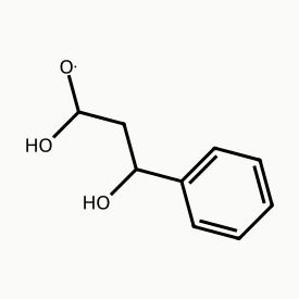 [O]C(O)CC(O)c1ccccc1